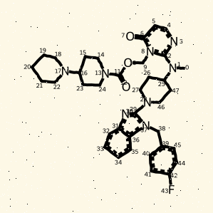 CN(c1nccc(=O)n1COC(=O)N1CCC(N2CCCCC2)CC1)C1CCN(c2nc3ccccc3n2Cc2ccc(F)cc2)CC1